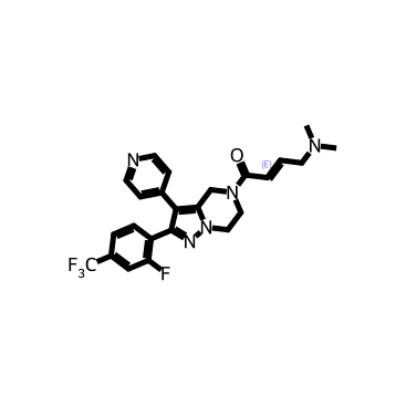 CN(C)C/C=C/C(=O)N1CCn2nc(-c3ccc(C(F)(F)F)cc3F)c(-c3ccncc3)c2C1